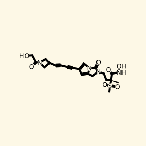 C[C@@](CCN1Cc2cc(C#CC#CC3CN(C(=O)CO)C3)cn2C1=O)(C(=O)NO)S(C)(=O)=O